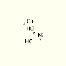 Cl.Cl.[Cu].[N]